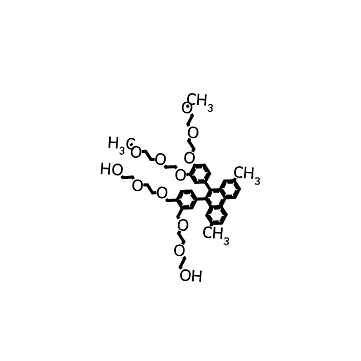 COCCOCCOc1ccc(-c2c(-c3ccc(COCCOCCO)c(COCCOCCO)c3)c3cc(C)ccc3c3ccc(C)cc23)cc1OCCOCCOC